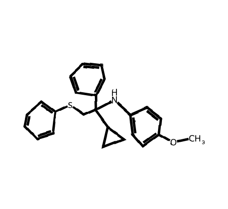 COc1ccc(NC(CSc2ccccc2)(c2ccccc2)C2CC2)cc1